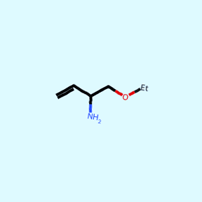 C=CC(N)COCC